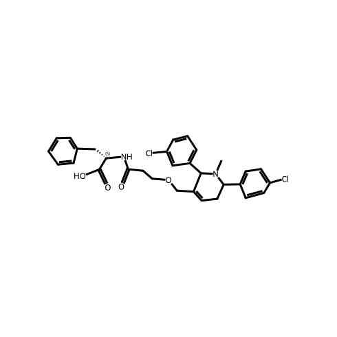 CN1C(c2ccc(Cl)cc2)CC=C(COCCC(=O)N[C@@H](Cc2ccccc2)C(=O)O)C1c1cccc(Cl)c1